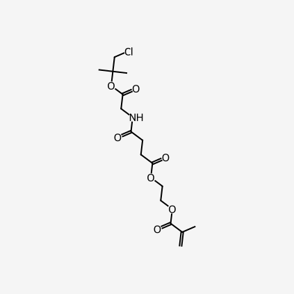 C=C(C)C(=O)OCCOC(=O)CCC(=O)NCC(=O)OC(C)(C)CCl